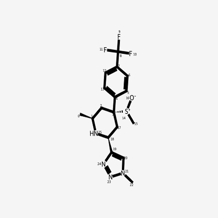 C[C@H]1C[C@](c2ccc(C(F)(F)F)cc2)([S+](C)[O-])C[C@@H](c2cn(C)nn2)N1